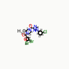 C[C@H]1CN(C(=O)c2ncn(-c3cccc(Cl)c3)n2)CCN1C(=O)c1cc(Br)c(Br)o1